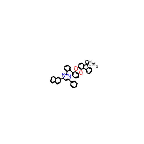 CC1(C)c2ccccc2-c2c1ccc1c2Oc2cccc(-c3ccccc3-c3nc(-c4ccccc4)cc(-c4ccc5ccccc5c4)n3)c2O1